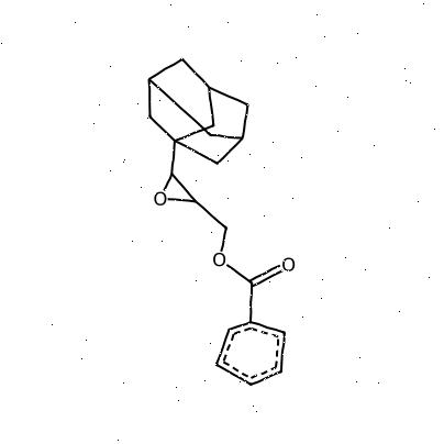 O=C(OCC1OC1C12CC3CC(CC(C3)C1)C2)c1ccccc1